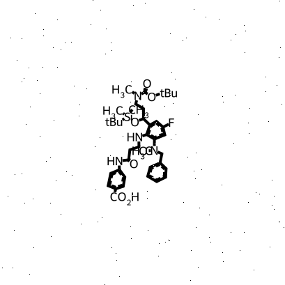 CN(CCC(O[Si](C)(C)C(C)(C)C)c1cc(F)cc(N(C)Cc2ccccc2)c1NC(=O)CC(=O)Nc1ccc(C(=O)O)cc1)C(=O)OC(C)(C)C